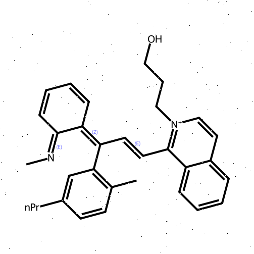 CCCc1ccc(C)c(C(/C=C/c2c3ccccc3cc[n+]2CCCO)=C2/C=CC=C/C2=N\C)c1